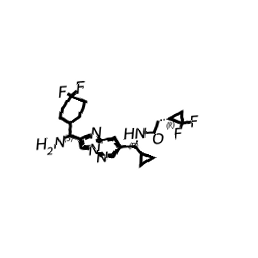 N[C@H](c1cn2ncc([C@H](NC(=O)C[C@@H]3CC3(F)F)C3CC3)cc2n1)C1CCC(F)(F)CC1